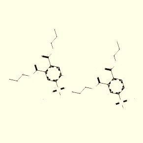 CCCOC(=O)c1ccc(S(=O)(=O)[O-])cc1C(=O)OCCC.CCCOC(=O)c1ccc(S(=O)(=O)[O-])cc1C(=O)OCCC.[Ca+2]